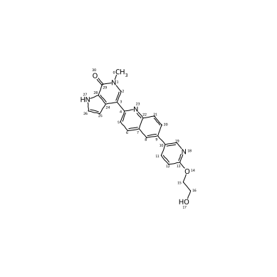 Cn1cc(-c2ccc3cc(-c4ccc(OCCO)nc4)ccc3n2)c2cc[nH]c2c1=O